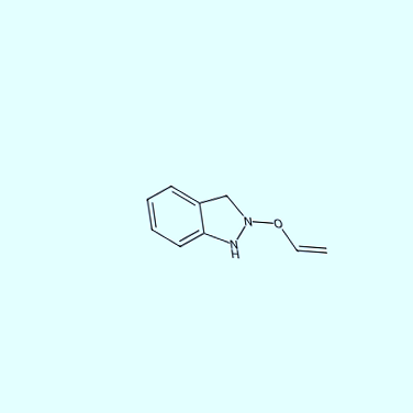 C=CON1Cc2ccccc2N1